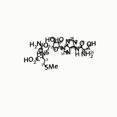 CSCC[C@H](NSC(OC(N)=O)[C@H]1O[C@@H](n2cnc3c(NC(=O)[C@@H](N)[C@@H](C)O)ncnc32)[C@H](O)[C@@H]1O)C(=O)O